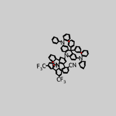 N#Cc1ccccc1-c1cc(N2c3ccc(N(c4ccccc4)c4ccccc4)cc3C(c3ccccc3)(c3ccccc3)c3cc(N(c4ccccc4)c4ccccc4)ccc32)cc(-c2ccccc2C#N)c1-n1c2ccc(C(F)(F)F)cc2c2cc(C(F)(F)F)ccc21